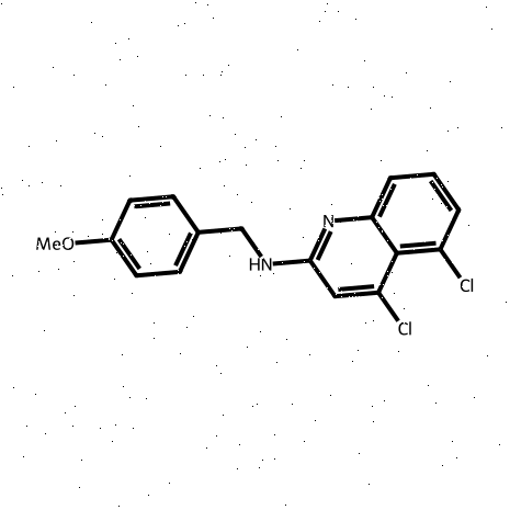 COc1ccc(CNc2cc(Cl)c3c(Cl)cccc3n2)cc1